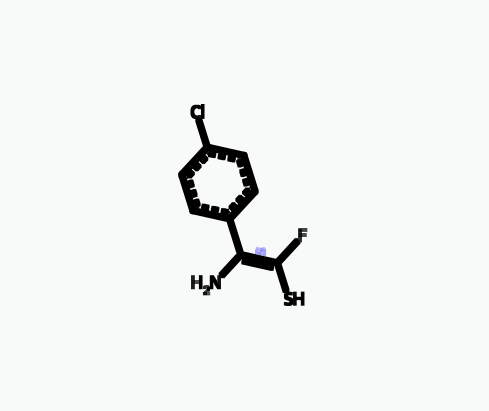 N/C(=C(/F)S)c1ccc(Cl)cc1